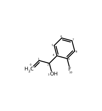 C=CC(O)c1ccccc1F